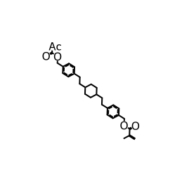 C=C(C)C(=O)OCc1ccc(CCC2CCC(CCc3ccc(COC(=O)C(C)=O)cc3)CC2)cc1